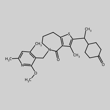 COc1nc(C)cc(C)c1CN1CCCc2sc(C(C)C3CCC(=O)CC3)c(C)c2C1=O